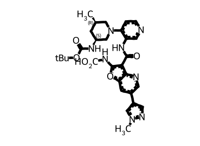 C[C@@H]1C[C@H](NC(=O)OC(C)(C)C)CN(c2ccncc2NC(=O)c2c(NC(=O)O)oc3cc(-c4cnn(C)c4)cnc23)C1